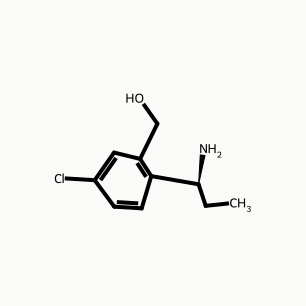 CC[C@H](N)c1ccc(Cl)cc1CO